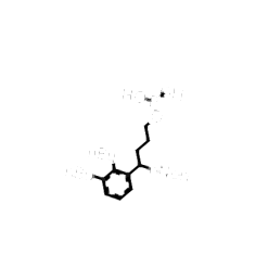 CCCCCCCCCC(CCCOP(O)O)c1cccc(CCCC)c1CCCC